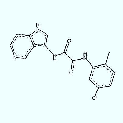 Cc1ccc(Cl)cc1NC(=O)C(=O)Nc1c[nH]c2ccncc12